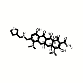 CN(C)c1c(CNCC2CCOC2)cc(O)c2c1C[C@H]1C[C@H]3[C@H](N(C)C)C(O)=C(C(N)=O)C(=O)[C@@]3(O)C(O)=C1C2=O